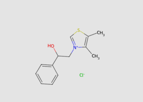 Cc1sc[n+](CC(O)c2ccccc2)c1C.[Cl-]